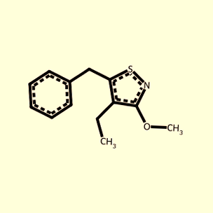 CCc1c(OC)nsc1Cc1ccccc1